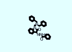 O=C(NN=C1C(=O)N(CN(Cc2ccccc2)Cc2ccccc2)c2ccccc21)c1ccccc1